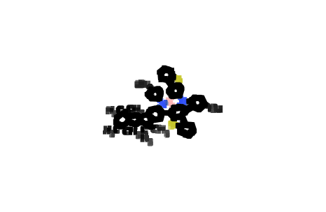 CC(C)(C)c1ccc(N2B3c4cc5c(cc4-n4c6ccc(C(C)(C)C)cc6c6c7c(sc8ccccc87)c(c3c64)-c3cc4c(cc32)-c2cc3c(cc2C4(C)C)C(C)(C)CCC3(C)C)sc2ccccc25)cc1